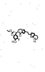 CCOC(=O)C[C@@H](c1ccc(O)c(F)c1)N1CCn2cc(CCc3ccc4c(n3)NCCC4)cc2C1=O